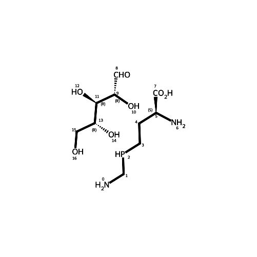 NCPCC[C@H](N)C(=O)O.O=C[C@H](O)[C@H](O)[C@H](O)CO